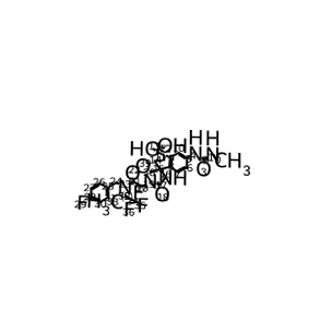 CNC(=O)Nc1ccc2c(c1)S(O)(O)CC21NC(=O)N(CC(=O)N(Cc2ccc(F)cc2)[C@@H](C)C(F)(F)F)C1=O